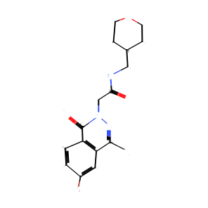 CC(C)c1nn(CC(=O)NCC2CCOCC2)c(=O)c2ccc(Br)cc12